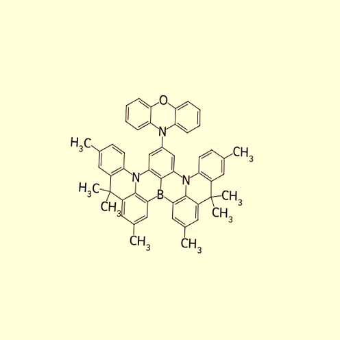 Cc1ccc2c(c1)C(C)(C)c1cc(C)cc3c1N2c1cc(N2c4ccccc4Oc4ccccc42)cc2c1B3c1cc(C)cc3c1N2c1ccc(C)cc1C3(C)C